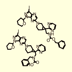 O=C(NCC1(c2ncccn2)C2CCN(c3cnc4c(I)nn(C5CCCCO5)c4n3)CC21)OCc1ccccc1.O=C(O)N(Cc1ccccc1)CC1(c2ncccn2)C2CCN(c3cnc4c(I)nn(C5CCCCO5)c4n3)CC21